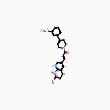 CC(=O)Nc1cccc(C2=CCN(C(=O)/C=C/c3cnc4c(c3)CCC(=O)N4)CC2)c1